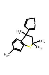 Cc1ccc2c(c1)SC(C)(C)CC2(C)C1=CCCC=C1